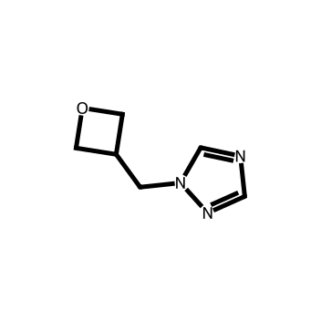 c1ncn(CC2COC2)n1